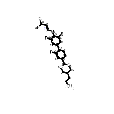 CCCC1COC(c2ccc(-c3cc(F)c(O/C=C/C(F)F)c(F)c3)c(F)c2)OC1